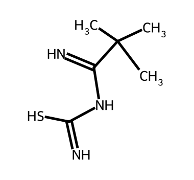 CC(C)(C)C(=N)NC(=N)S